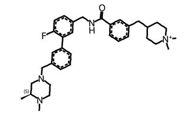 C[C@H]1CN(Cc2cccc(-c3cc(CNC(=O)c4cccc(CC5CC[N+](C)(C)CC5)c4)ccc3F)c2)CCN1C